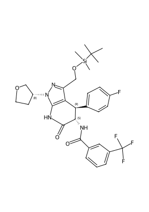 CC(C)(C)[Si](C)(C)OCc1nn([C@@H]2CCOC2)c2c1[C@@H](c1ccc(F)cc1)[C@H](NC(=O)c1cccc(C(F)(F)F)c1)C(=O)N2